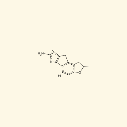 CC1Cc2c(ccc3c2Cc2sc(N)nc2-3)O1.I